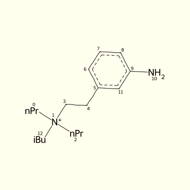 CCC[N+](CCC)(CCc1cccc(N)c1)C(C)CC